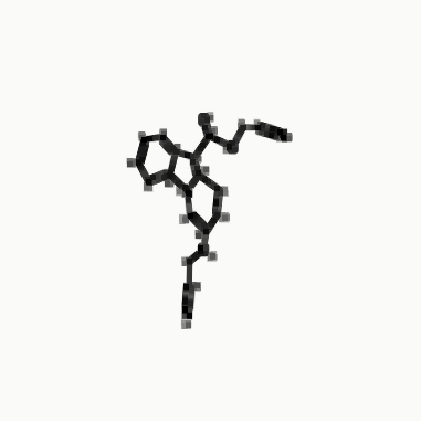 N#CCOC(=O)c1c2ccccc2n2cc(OCC#N)ccc12